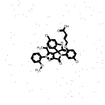 COc1ccccc1-n1nc2c(c1C(C)C)C1(C(=O)Nc3cc(Cl)ccc31)N(c1cc(Cl)ccc1OCC=CC(=O)O)C2=O